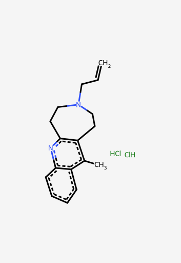 C=CCN1CCc2nc3ccccc3c(C)c2CC1.Cl.Cl